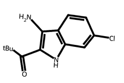 CC(C)(C)C(=O)c1[nH]c2cc(Cl)ccc2c1N